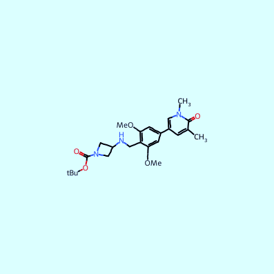 COc1cc(-c2cc(C)c(=O)n(C)c2)cc(OC)c1CNC1CN(C(=O)OC(C)(C)C)C1